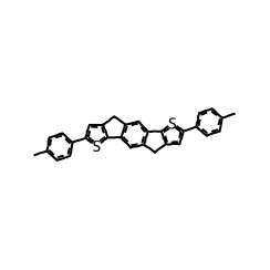 Cc1ccc(-c2cc3c(s2)-c2cc4c(cc2C3)-c2sc(-c3ccc(C)cc3)cc2C4)cc1